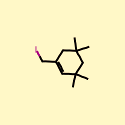 CC1(C)C=C(CI)CC(C)(C)C1